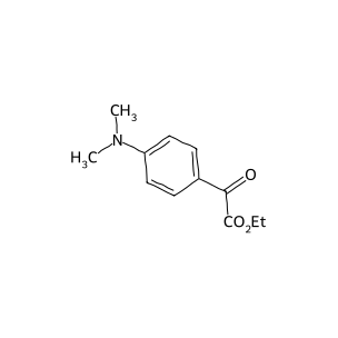 CCOC(=O)C(=O)c1ccc(N(C)C)cc1